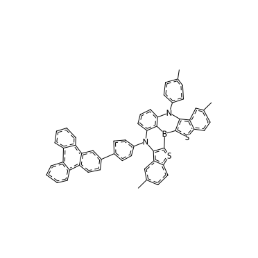 Cc1ccc(N2c3cccc4c3B(c3sc5ccc(C)cc5c32)c2sc3ccc(C)cc3c2N4c2ccc(-c3ccc4c5ccccc5c5ccccc5c4c3)cc2)cc1